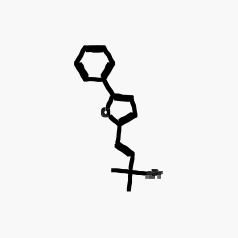 CCCC(C)(C)/C=C/c1ccc(-c2ccccc2)o1